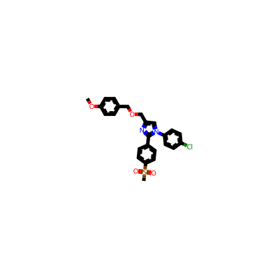 COc1ccc(COCc2cn(-c3ccc(Cl)cc3)c(-c3ccc(S(C)(=O)=O)cc3)n2)cc1